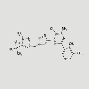 Cc1cccc(-c2nc(N)c(Cl)c(-c3cn(Cc4cc(C(C)(C)O)n(C)n4)nn3)n2)c1C